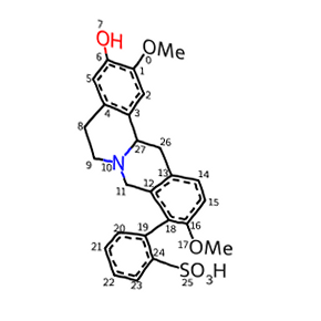 COc1cc2c(cc1O)CCN1Cc3c(ccc(OC)c3-c3ccccc3S(=O)(=O)O)CC21